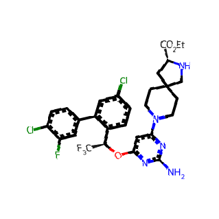 CCOC(=O)[C@@H]1CC2(CCN(c3cc(O[C@H](c4ccc(Cl)cc4-c4ccc(Cl)c(F)c4)C(F)(F)F)nc(N)n3)CC2)CN1